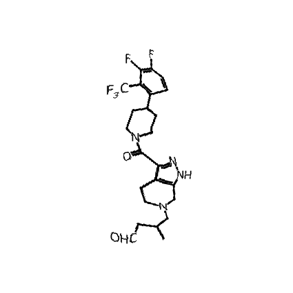 CC(CC=O)CN1CCc2c(C(=O)N3CCC(c4ccc(F)c(F)c4C(F)(F)F)CC3)n[nH]c2C1